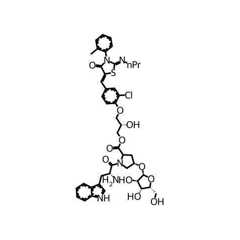 CCC/N=C1\S/C(=C\c2ccc(OC[C@H](O)COC(=O)C3C[C@@H](O[C@H]4O[C@H](CO)[C@H](O)[C@H]4O)CN3C(=O)[C@H](N)Cc3c[nH]c4ccccc34)c(Cl)c2)C(=O)N1c1ccccc1C